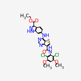 CCOC(=O)c1n[nH]c2cc(Nc3ncnc4c(C(=O)Nc5c(Cl)c(OC)cc(OC)c5Cl)csc34)ccc12